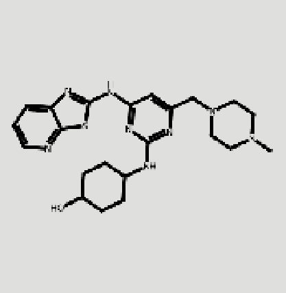 CN1CCN(Cc2cc(Nc3nc4cccnc4s3)nc(NC3CCC(O)CC3)n2)CC1